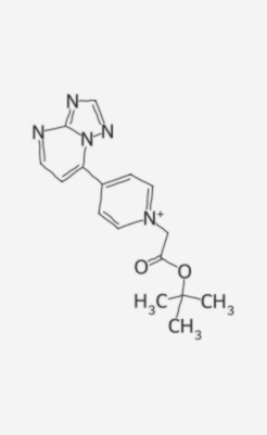 CC(C)(C)OC(=O)C[n+]1ccc(-c2ccnc3ncnn23)cc1